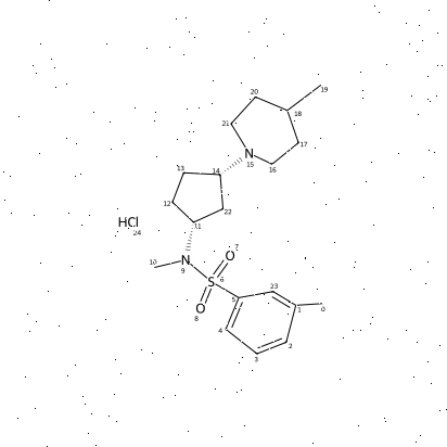 Cc1cccc(S(=O)(=O)N(C)[C@@H]2CC[C@H](N3CCC(C)CC3)C2)c1.Cl